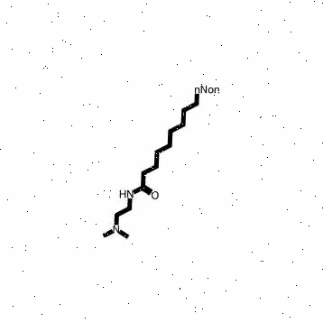 CCCCCCCCCCCCCCCCCC(=O)NCCN(C)C